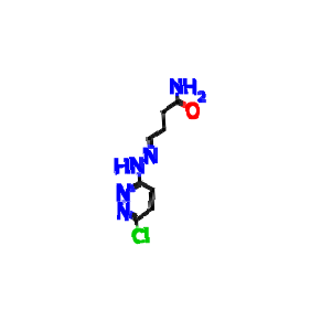 NC(=O)CCC=NNc1ccc(Cl)nn1